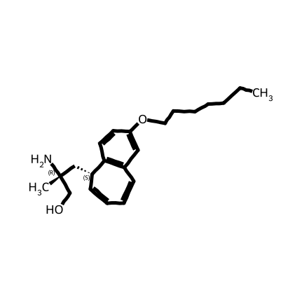 CCCCCCCOc1ccc2c(c1)C=CC=C[C@@H]2C[C@@](C)(N)CO